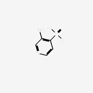 CCP(=O)(CC)c1ccncc1N